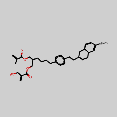 C=C(C)C(=O)OCC(CCCCc1ccc(CCC2CCC3C=C(CCCCC)C=CC3C2)cc1)COC(=O)C(=C)CO